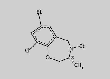 CCc1cc(Cl)c2c(c1)CN(CC)[C@H](C)CO2